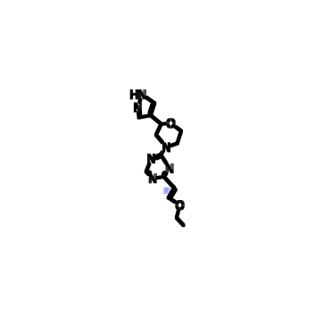 CCO/C=C/c1ncnc(N2CCOC(c3cn[nH]c3)C2)n1